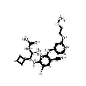 COCCOc1cc(Nc2nc(N[C@H](C3CCC3)[C@H](C)NC(=O)O)c(F)cc2C#N)ccn1